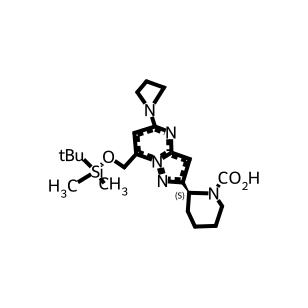 CC(C)(C)[Si](C)(C)OCc1cc(N2CCC2)nc2cc([C@@H]3CCCCN3C(=O)O)nn12